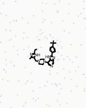 CCc1nc(C)c(CN2CCN(c3cncc4nc(-c5ccc(C(C)(C)C)cc5)[nH]c34)CC2)[nH]1